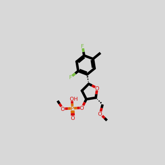 COC[C@H]1O[C@@H](c2cc(C)c(F)cc2F)CC1OP(=O)(O)OC